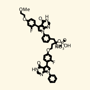 COCCOc1ccc(-c2cn(-c3cccc(CC(C)(CCOc4ccc(-c5cn(-c6ccccc6)c6nc[nH]c(=O)c56)c(F)c4)OP(=O)(O)O)c3)c3nc[nH]c(=O)c23)c(F)c1